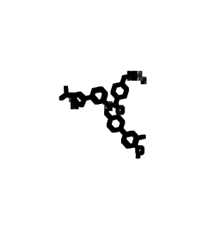 COc1ccc(C2CCC(CN(C(=O)C3CCC(CN)CC3)c3cccc(-c4cnn(C(C)C)c4)c3)CC2)cc1C